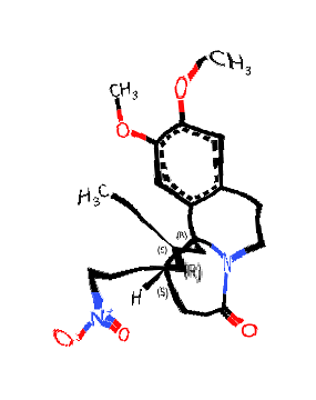 COc1cc2c(cc1OC)[C@@]13C[C@H](C)[C@@H](C[N+](=O)[O-])[C@@H]1CC(=O)N3CC2